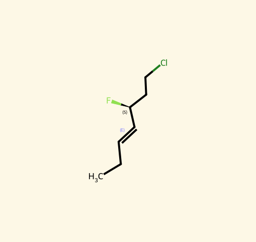 CC/C=C/[C@@H](F)CCCl